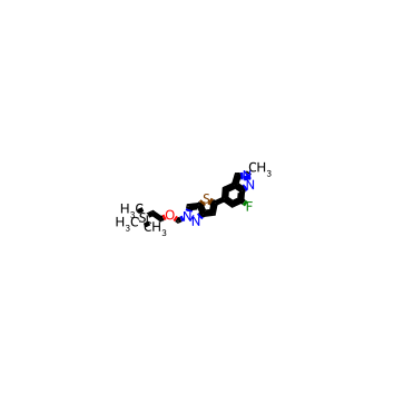 Cn1cc2cc(-c3cc4nn(COCC[Si](C)(C)C)cc4s3)cc(F)c2n1